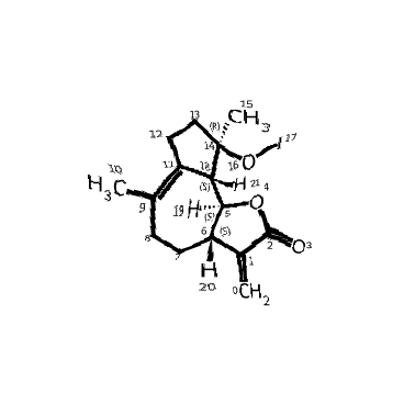 C=C1C(=O)O[C@H]2[C@H]1CCC(C)=C1CC[C@@](C)(OI)[C@@H]12